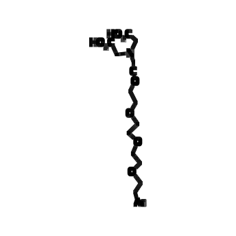 CC(=O)CCOCCOCCOCCOCCN(CC(=O)O)CC(=O)O